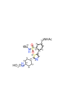 CC(=O)NCc1ccc(-c2cnc([C@H]3CC[C@H](NC(=O)O)CC3)s2)c(S(=O)(=O)NC(C)(C)C)c1